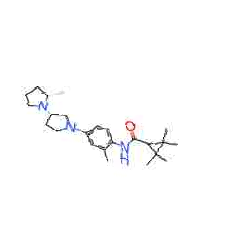 Cc1cc(N2CC[C@H](N3CCC[C@@H]3C)C2)ccc1NC(=O)C1C(C)(C)C1(C)C